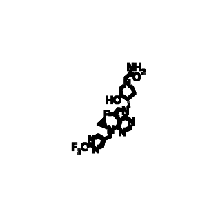 NC(=O)CN1CC[C@H](Cn2cc(F)c3c(N(Cc4cnc(C(F)(F)F)nc4)C4CC4)ncnc32)[C@@H](O)C1